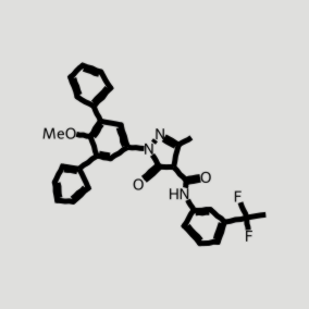 COc1c(-c2ccccc2)cc(N2N=C(C)C(C(=O)Nc3cccc(C(C)(F)F)c3)C2=O)cc1-c1ccccc1